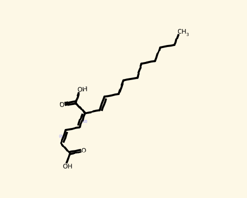 CCCCCCCCC=C/C(=C/C=C\C(=O)O)C(=O)O